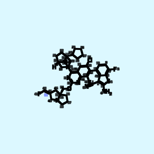 N#Cc1c(N)sc2c(F)ccc(-c3c(Cl)cc4c(N5C[C@@H]6CC[C@](C7CCCC7)(C5)N6)nc(OC[C@@]56CCCN5C/C(=C\F)C6)nc4c3F)c12